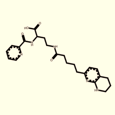 O=C(CCCCc1ccc2c(n1)NCCC2)NCCC(NC(=O)c1ccccn1)C(=O)O